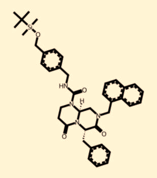 CC(C)(C)[Si](C)(C)OCc1ccc(CNC(=O)N2CCC(=O)N3[C@@H]2CN(Cc2cccc4ccccc24)C(=O)[C@@H]3Cc2ccccc2)cc1